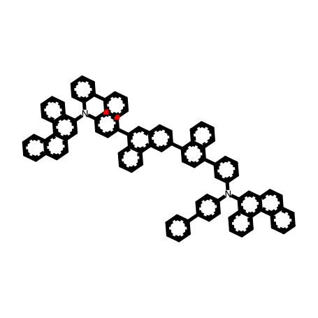 c1ccc(-c2ccc(N(c3cccc(-c4ccc(-c5ccc6cc(-c7ccc(N(c8ccccc8-c8ccccc8)c8cc9ccc%10ccccc%10c9c9ccccc89)cc7)c7ccccc7c6c5)c5ccccc45)c3)c3cc4ccc5ccccc5c4c4ccccc34)cc2)cc1